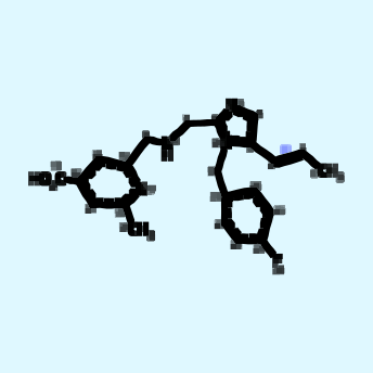 C/C=C/c1cnc(CNCc2cc(C(=O)O)cc(C)n2)n1Cc1ccc(F)cc1